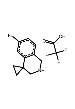 Brc1ccc2c(c1)C1(CC1)CNC2.O=C(O)C(F)(F)F